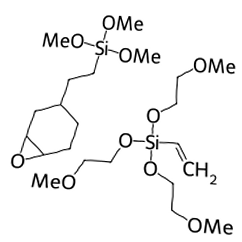 C=C[Si](OCCOC)(OCCOC)OCCOC.CO[Si](CCC1CCC2OC2C1)(OC)OC